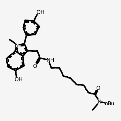 CCCCN(C)C(=O)CCCCCCCNC(=O)Cc1c(-c2ccc(O)cc2)n(C)c2ccc(O)cc12